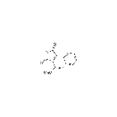 COC(=Cc1ccccc1)C1=CC(=O)OC1=O